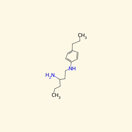 CCCc1ccc(NCCC(N)CCC)cc1